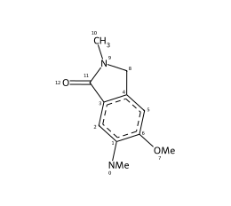 CNc1cc2c(cc1OC)CN(C)C2=O